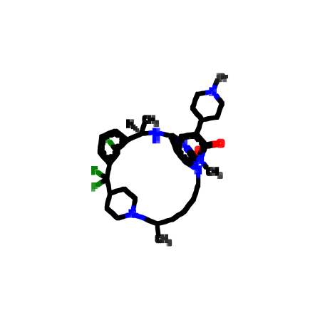 CC(C)N1CCC(c2cc3c4nc(=O)n(c3n(C)c2=O)CCCCC(C)N2CCC(CC2)C(F)(F)c2cccc(c2F)[C@@H](C)N4)CC1